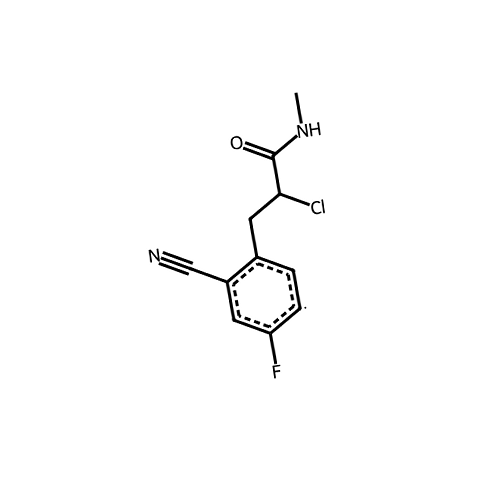 CNC(=O)C(Cl)Cc1c[c]c(F)cc1C#N